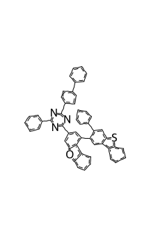 c1ccc(-c2ccc(-c3nc(-c4ccccc4)nc(-c4cc(-c5cc6c(cc5-c5ccccc5)sc5ccccc56)c5c(c4)oc4ccccc45)n3)cc2)cc1